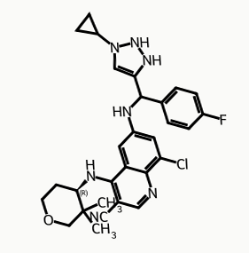 CC1(C)COCC[C@H]1Nc1c(C#N)cnc2c(Cl)cc(NC(C3=CN(C4CC4)NN3)c3ccc(F)cc3)cc12